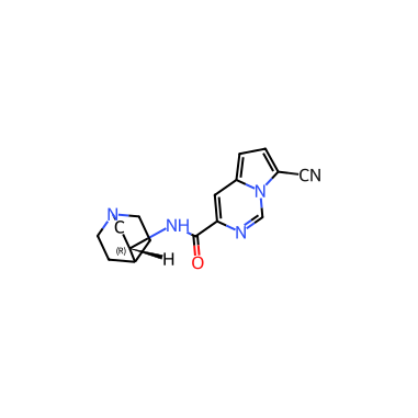 N#Cc1ccc2cc(C(=O)N[C@H]3CN4CCC3CC4)ncn12